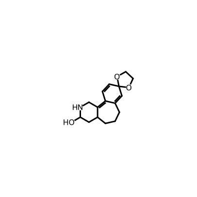 OC1CC2CCCC3=CC4(C=CC3=C2CN1)OCCO4